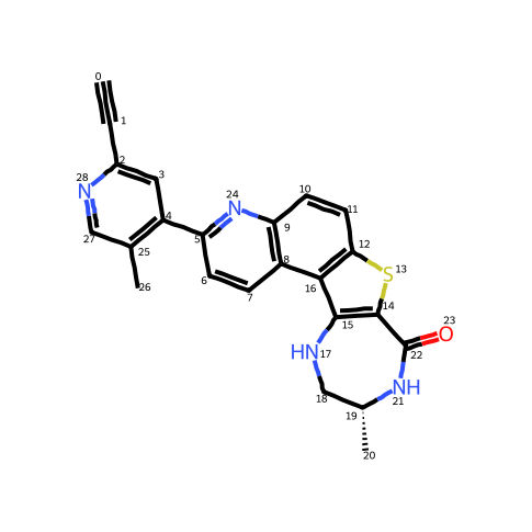 C#Cc1cc(-c2ccc3c(ccc4sc5c(c43)NC[C@@H](C)NC5=O)n2)c(C)cn1